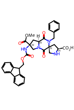 COC(=O)[C@]1(NC(=O)OCC2c3ccccc3-c3ccccc32)C[C@H]2C(=O)N(Cc3ccccc3)[C@@]3(CN[C@H](C(=O)O)C3)C(=O)N2C1